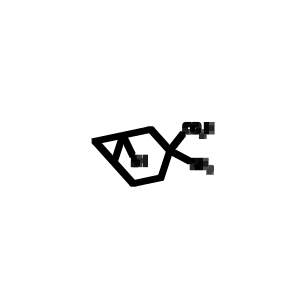 NC1(C(=O)O)CCC2CC2(S)C1